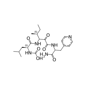 CC[C@H](C)C(NC(=O)[C@H](CC(C)C)NC(=O)O)C(=O)C(=O)NC(Cc1ccncc1)C(N)=O